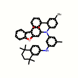 Cc1cc(Nc2ccc3c(c2)C(C)(C)CCC3(C)C)cc(N(c2ccc3c(c2)oc2ccccc23)c2ccc(C(C)(C)C)cc2-c2ccccc2)c1